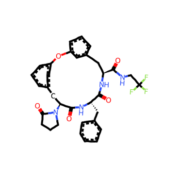 O=C(NCC(F)(F)F)[C@@H]1Cc2cccc(c2)Oc2cccc(c2)C[C@H](N2CCCC2=O)C(=O)N[C@@H](Cc2ccccc2)C(=O)N1